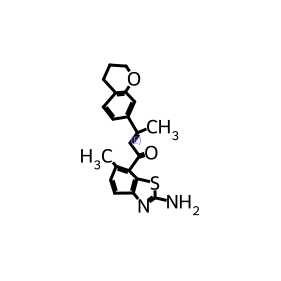 C/C(=C\C(=O)c1c(C)ccc2nc(N)sc12)c1ccc2c(c1)OCCC2